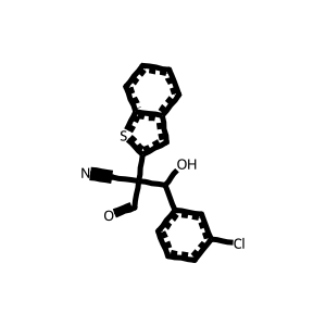 N#CC(C=O)(c1cc2ccccc2s1)C(O)c1cccc(Cl)c1